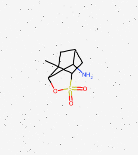 CC12CC3CC1S(=O)(=O)OC2C3N